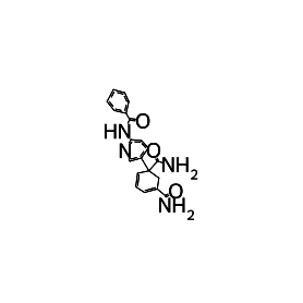 NC(=O)C1=CC=CC(C(N)=O)(c2ccc(NC(=O)c3ccccc3)nc2)C1